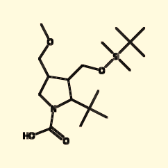 COCC1CN(C(=O)O)C(C(C)(C)C)C1CO[Si](C)(C)C(C)(C)C